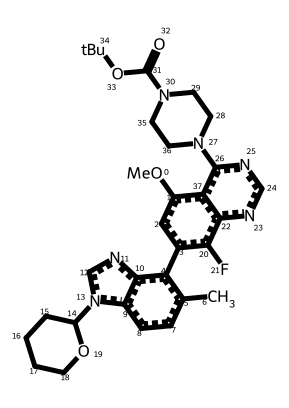 COc1cc(-c2c(C)ccc3c2ncn3C2CCCCO2)c(F)c2ncnc(N3CCN(C(=O)OC(C)(C)C)CC3)c12